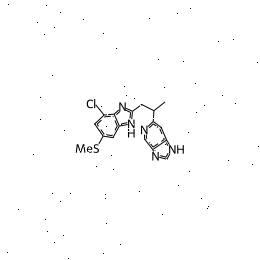 CSc1cc(Cl)c2nc(CC(C)c3cc4[nH]cnc4cn3)[nH]c2c1